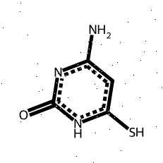 Nc1cc(S)[nH]c(=O)n1